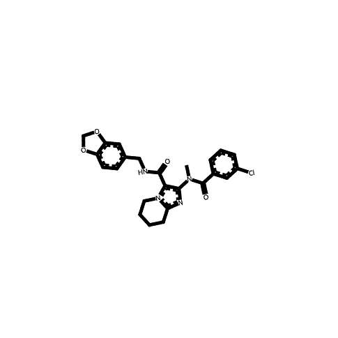 CN(C(=O)c1cccc(Cl)c1)c1nc2n(c1C(=O)NCc1ccc3c(c1)OCO3)CCCC2